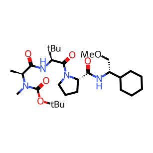 COC[C@@H](NC(=O)[C@@H]1CCCN1C(=O)[C@@H](NC(=O)[C@H](C)N(C)C(=O)OC(C)(C)C)C(C)(C)C)C1CCCCC1